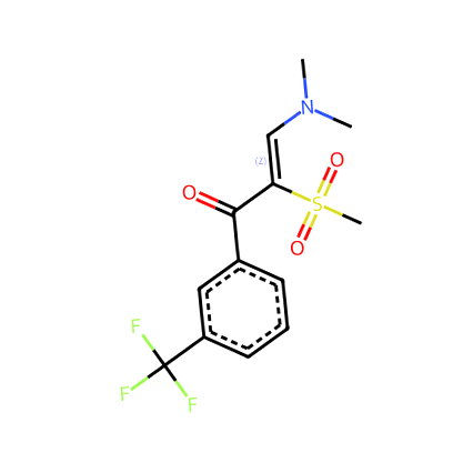 CN(C)/C=C(/C(=O)c1cccc(C(F)(F)F)c1)S(C)(=O)=O